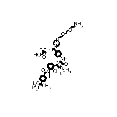 Cc1c(NC(=O)c2ccc(C(C)(C)C)cc2)cccc1-c1cn(C)c(=O)c(Nc2ccc(C(=O)N3CCN(CCOCCOCCN)CC3)cc2)n1.O=C(O)C(F)(F)F